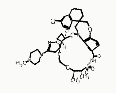 C[C@@H]1[C@@H](C)CCC[C@]2(CC(N3CCN(C)CC3)=NO2)[C@@H]2CC[C@H]2CN2C[C@@]3(CCCc4cc(Cl)ccc43)COc3ccc(cc32)C(=O)NS1(=O)=O